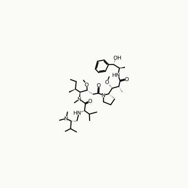 CC[C@H](C)[C@@H]([C@@H](CC(=O)N1CCC[C@H]1[C@H](OC)[C@@H](C)C(=O)N[C@H](C)[C@@H](O)c1ccccc1)OC)N(C)C(=O)[C@@H](NC[C@H](C(C)C)N(C)C)C(C)C